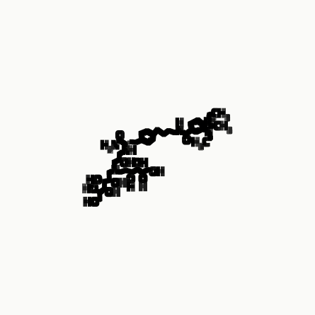 CCn1c(C)[n+](CC)c2ccc(C(=O)NCCCCc3ccc(CC[C@H](NCCCN(C[C@H](O)[C@@H](O)[C@H](O)[C@H](O)CO)C[C@H](O)[C@@H](O)[C@H](O)[C@H](O)CO)C(N)=O)cc3)cc21